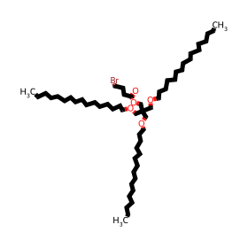 CCCCCCCCCCCCCCCCOCC(COCCCCCCCCCCCCCCCC)(COCCCCCCCCCCCCCCCC)COC(=O)CCCBr